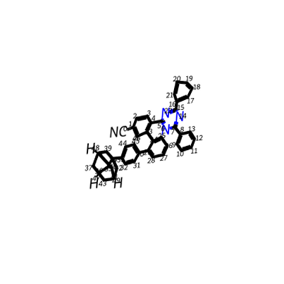 N#Cc1ccc(-c2nc(-c3ccccc3)nc(-c3ccccc3)n2)c(-c2ccccc2-c2ccc(C34C[C@H]5C[C@H](C3)C[C@@H](C4)C5)cc2)c1